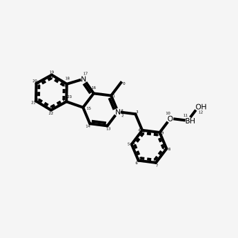 CC1=[N+](Cc2ccccc2OBO)C=CC2C1=Nc1ccccc12